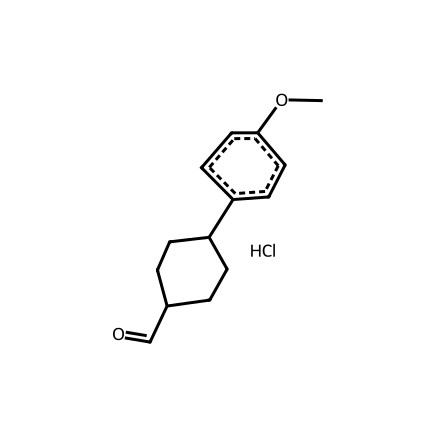 COc1ccc(C2CCC(C=O)CC2)cc1.Cl